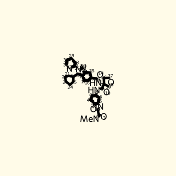 CNC(=O)c1nc2cc(NC(=O)[C@@]3(NC(=O)c4ccc5c(C6CCCCC6)n(-c6ccccn6)nc5c4)CCOC3)ccc2o1